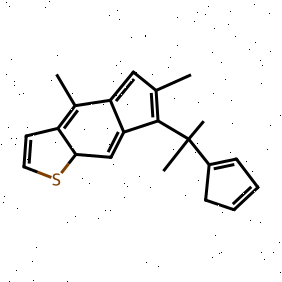 CC1=C(C(C)(C)C2=CC=CC2)C2=CC3SC=CC3=C(C)C2=C1